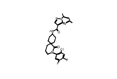 Cc1cc(C)n2ncc(C(=O)NC3CCC4(CCCN(c5cc(F)c(F)cc5Cl)C4=O)CC3)c2n1